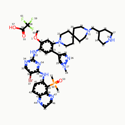 COc1cc(N2CCC3(CCN(CC4CCNCC4)CC3)CC2)c(-c2cnn(C)c2)cc1Nc1ncc(Br)c(Nc2ccc3nccnc3c2P(C)(C)=O)n1.O=C(O)C(F)(F)F